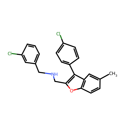 Cc1ccc2oc(CNCc3cccc(Cl)c3)c(-c3ccc(Cl)cc3)c2c1